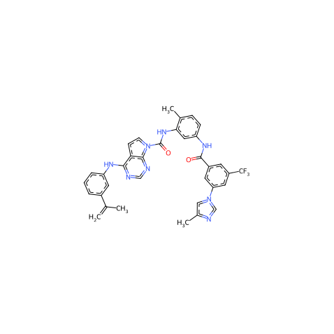 C=C(C)c1cccc(Nc2ncnc3c2ccn3C(=O)Nc2cc(NC(=O)c3cc(-n4cnc(C)c4)cc(C(F)(F)F)c3)ccc2C)c1